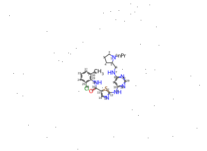 CCCN1CCCC1CNc1cc(Nc2ncc(C(=O)Nc3c(C)cccc3Cl)s2)ncn1